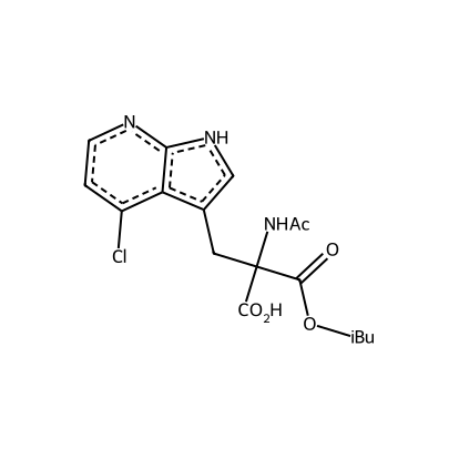 CCC(C)OC(=O)C(Cc1c[nH]c2nccc(Cl)c12)(NC(C)=O)C(=O)O